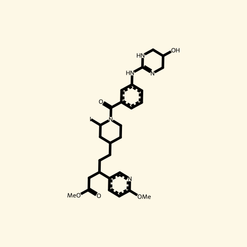 COC(=O)CC(CCC1CCN(C(=O)c2cccc(NC3=NCC(O)CN3)c2)C(I)C1)c1ccc(OC)nc1